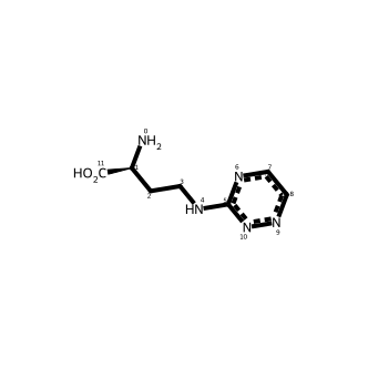 N[C@@H](CCNc1nccnn1)C(=O)O